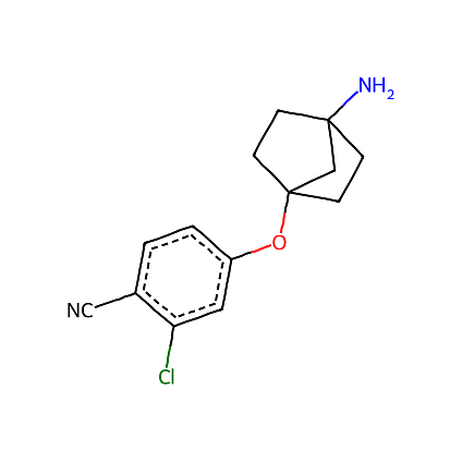 N#Cc1ccc(OC23CCC(N)(CC2)C3)cc1Cl